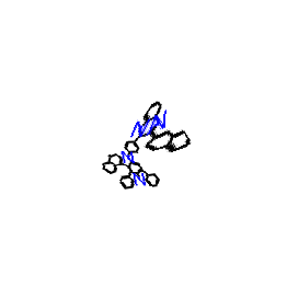 c1ccc2cc(-c3nc4ccccc4nc3-c3ccc(-n4c5ccc6ccccc6c5c5c6c7ccccc7n7c8ccccc8c(cc54)c67)cc3)ccc2c1